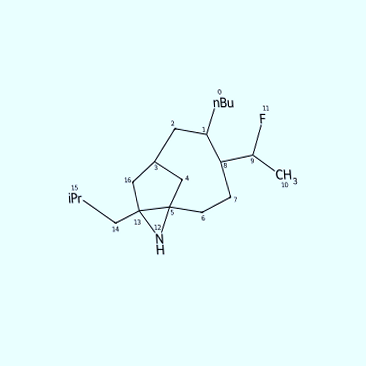 CCCCC1CC2CC3(CCC1C(C)F)NC3(CC(C)C)C2